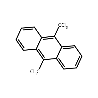 ClC(Cl)(Cl)c1c2ccccc2c(C(Cl)(Cl)Cl)c2ccccc12